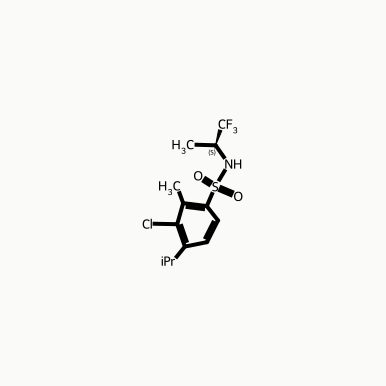 Cc1c(S(=O)(=O)N[C@@H](C)C(F)(F)F)ccc(C(C)C)c1Cl